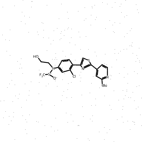 CC(C)(C)c1cc(-c2nc(-c3ccc(N(CCO)[S+]([O-])C(F)(F)F)cc3Cl)cs2)ccn1